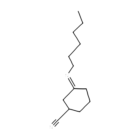 CCCCCCN=C1CCCC(C#N)C1